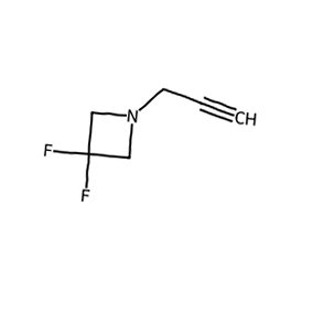 C#CCN1CC(F)(F)C1